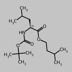 CC(C)CCOC(=O)[C@H](CC(C)C)NC(=O)OC(C)(C)C